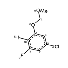 COCOc1cc(Cl)cc(F)c1I